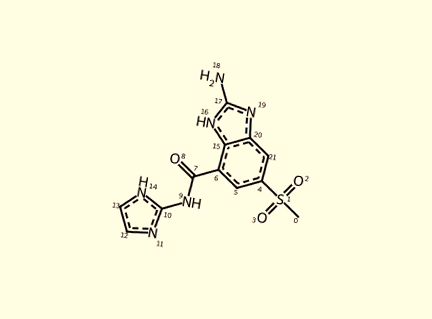 CS(=O)(=O)c1cc(C(=O)Nc2ncc[nH]2)c2[nH]c(N)nc2c1